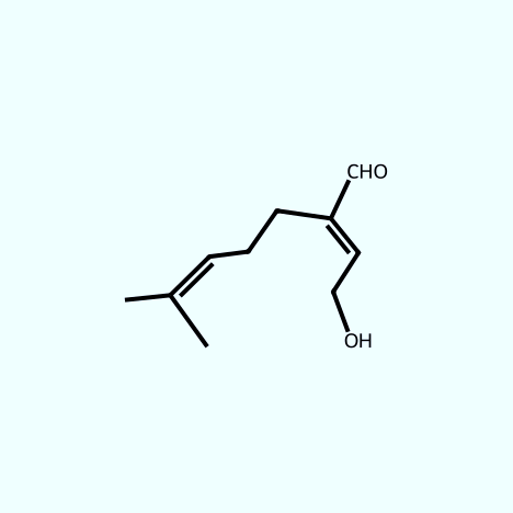 CC(C)=CCCC(C=O)=CCO